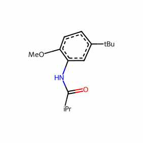 COc1ccc(C(C)(C)C)cc1NC(=O)C(C)C